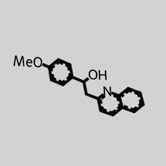 COc1ccc(C(O)Cc2ccc3ccccc3n2)cc1